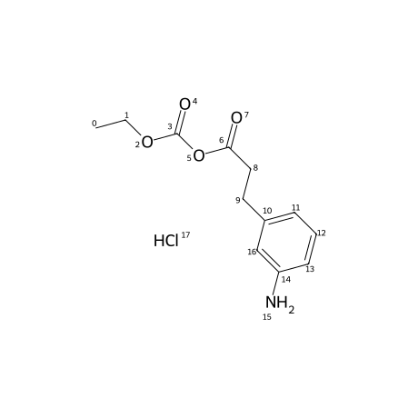 CCOC(=O)OC(=O)CCc1cccc(N)c1.Cl